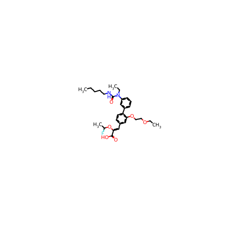 CCCCCNC(=O)N(CC)c1cccc(-c2ccc(C=C(OC(C)F)C(=O)O)cc2OCCOCC)c1